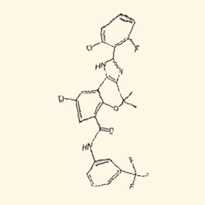 CC1(C)Oc2c(C(=O)Nc3cccc(C(F)(F)F)c3)cc(Cl)cc2-c2[nH]c(-c3c(F)cccc3Cl)nc21